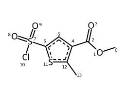 COC(=O)c1cc(S(=O)(=O)Cl)sc1C